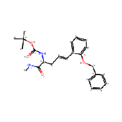 CNC(=O)[C@H](C/C=C/c1ccccc1OCc1ccccc1)NC(=O)OC(C)(C)C